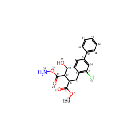 CC(C)(C)OC(=O)C(Cc1ccc(-c2ccccc2)cc1Cl)C(CO)C(=O)ON